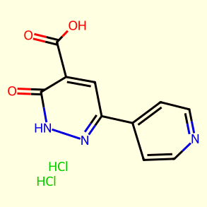 Cl.Cl.O=C(O)c1cc(-c2ccncc2)n[nH]c1=O